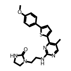 COc1ccc(-c2ccc(-c3nc(NCCN4CCNC4=O)ncc3C)s2)cc1